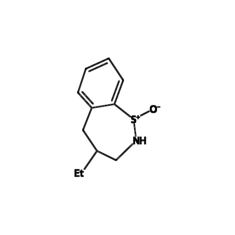 CCC1CN[S+]([O-])c2ccccc2C1